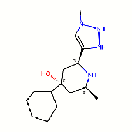 C[C@H]1C[C@@](O)(C2CCCCC2)C[C@@H](C2=CN(C)NN2)N1